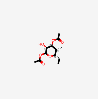 CC[C@@H]1OC(OC(C)=O)[C@@H](O)[C@@H](OC(C)=O)[C@@H]1C